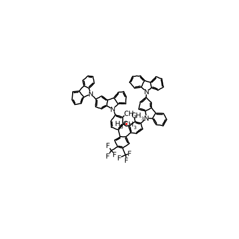 Cc1c(-c2cc(C(F)(F)F)c(C(F)(F)F)cc2-c2ccc(-n3c4ccccc4c4cc(-n5c6ccccc6c6ccccc65)ccc43)c(C)c2C)ccc(-n2c3ccccc3c3cc(-n4c5ccccc5c5ccccc54)ccc32)c1C